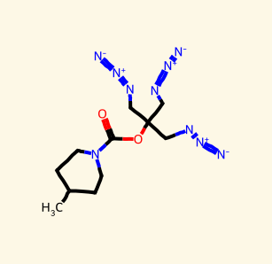 CC1CCN(C(=O)OC(CN=[N+]=[N-])(CN=[N+]=[N-])CN=[N+]=[N-])CC1